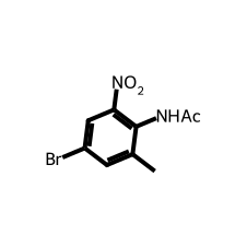 CC(=O)Nc1c(C)cc(Br)cc1[N+](=O)[O-]